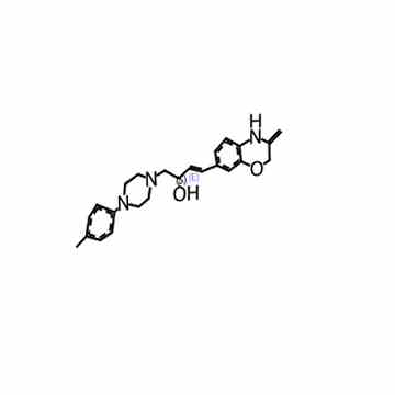 C=C1COc2cc(/C=C/[C@H](O)CN3CCN(c4ccc(C)cc4)CC3)ccc2N1